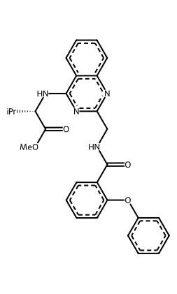 COC(=O)[C@@H](Nc1nc(CNC(=O)c2ccccc2Oc2ccccc2)nc2ccccc12)C(C)C